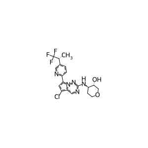 C[C@H](c1ccc(-c2cc(Cl)c3cnc(N[C@@H]4CCOC[C@H]4O)nn23)nc1)C(F)(F)F